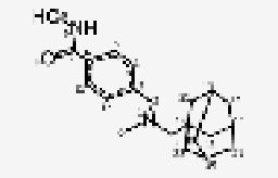 CN(Cc1ccc(C(=O)NO)cc1)CC12CC3CC(CC(C3)C1)C2